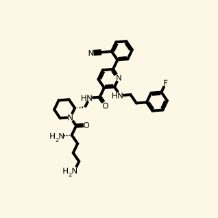 N#Cc1ccccc1-c1ccc(C(=O)NC[C@H]2CCCCN2C(=O)[C@@H](N)CCCN)c(NCCc2cccc(F)c2)n1